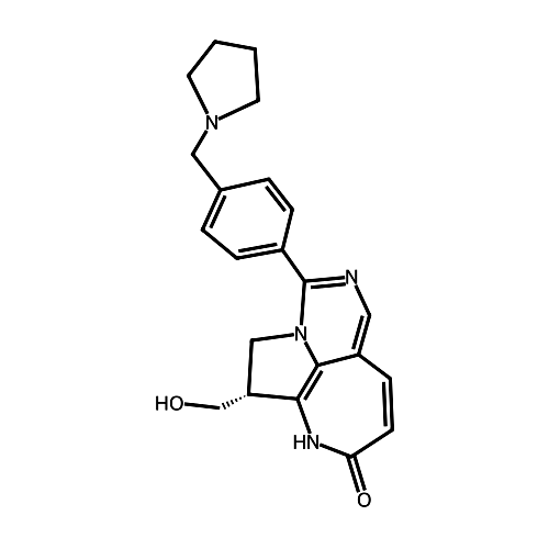 O=C1C=CC2=CN=C(c3ccc(CN4CCCC4)cc3)N3C[C@@H](CO)C(=C23)N1